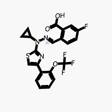 O=C(O)c1cc(F)ccc1/C=N/N(c1nc(-c2ccccc2OC(F)(F)F)cs1)C1CC1